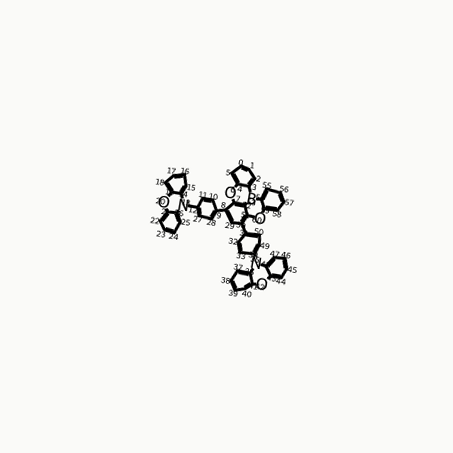 c1ccc2c(c1)Oc1c(-c3ccc(N4c5ccccc5Oc5ccccc54)cc3)cc(-c3ccc(N4c5ccccc5Oc5ccccc54)cc3)c3c1B2c1ccccc1O3